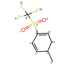 CC1C=CC(S(=O)(=O)C(F)(F)F)=CC1